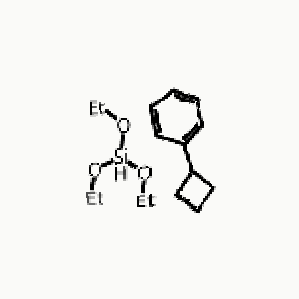 CCO[SiH](OCC)OCC.c1ccc(C2CCC2)cc1